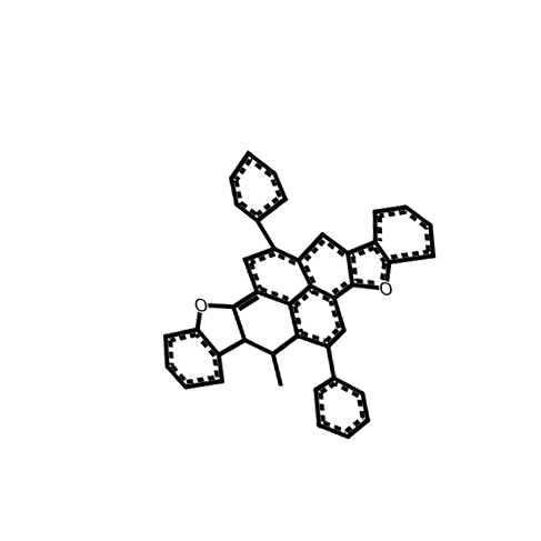 CC1c2c(-c3ccccc3)cc3c4oc5ccccc5c4cc4c(-c5ccccc5)cc(c2c43)=C2Oc3ccccc3C21